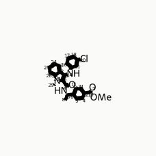 COC(=O)c1ccc(C(C)NC(=O)c2c(Nc3cccc(Cl)c3)c3ccccc3n2C)cc1